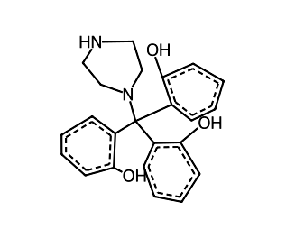 Oc1ccccc1C(c1ccccc1O)(c1ccccc1O)N1CCNCC1